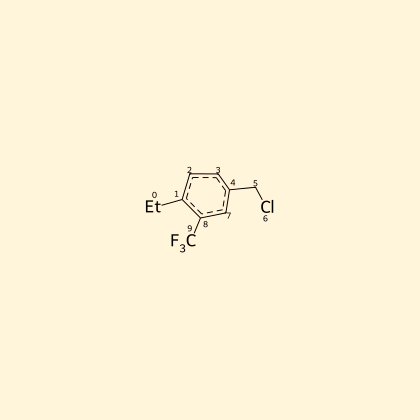 CCc1ccc(CCl)cc1C(F)(F)F